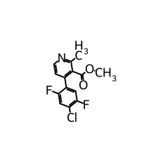 COC(=O)c1c(-c2cc(F)c(Cl)cc2F)ccnc1C